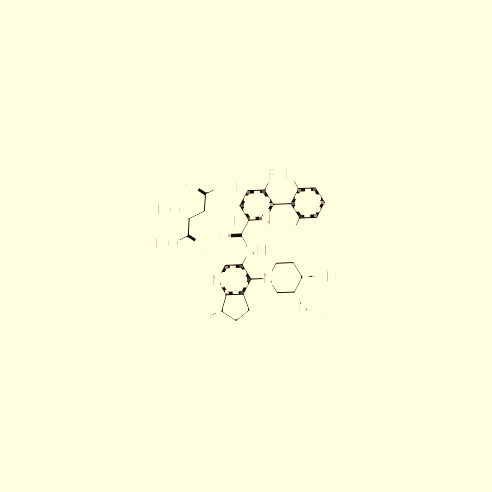 C[C@H]1CN(c2c(NC(=O)c3ccc(F)c(-c4c(F)cccc4F)n3)cnc3c2CC[C@H]3O)C[C@@H](N)[C@@H]1O.O=C(O)[C@H](O)[C@@H](O)C(=O)O